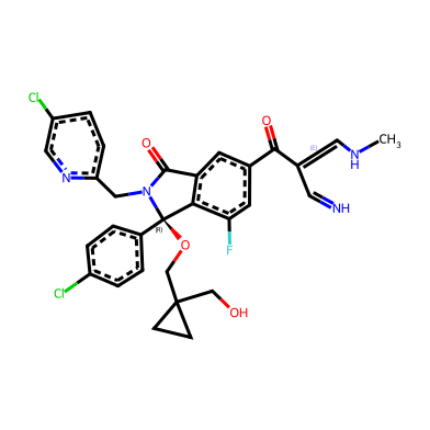 CN/C=C(\C=N)C(=O)c1cc(F)c2c(c1)C(=O)N(Cc1ccc(Cl)cn1)[C@@]2(OCC1(CO)CC1)c1ccc(Cl)cc1